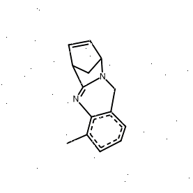 Cc1cccc2c1N=C1C3C=CC(C3)N1C2